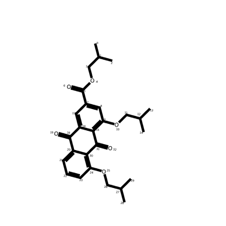 CC(C)COC(=O)c1cc(OCC(C)C)c2c(c1)C(=O)c1cccc(OCC(C)C)c1C2=O